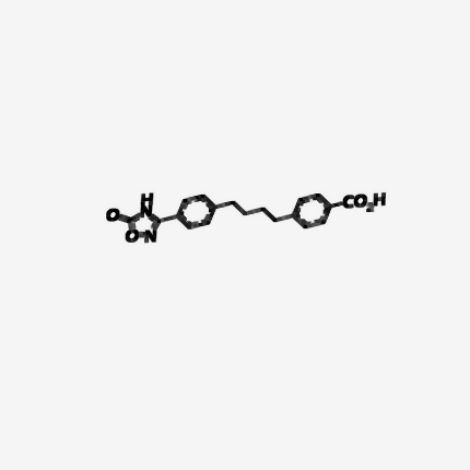 O=C(O)c1ccc(CCCCc2ccc(-c3noc(=O)[nH]3)cc2)cc1